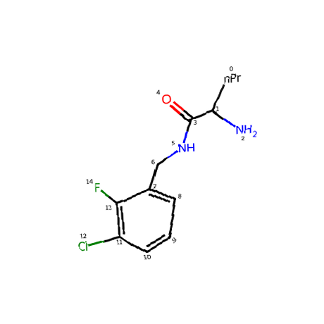 CCCC(N)C(=O)NCc1cccc(Cl)c1F